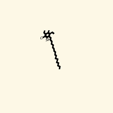 CCCCCCCCCCCCCCCCCCc1c([SiH3])c(Cl)c(CC)c(C)c1CC